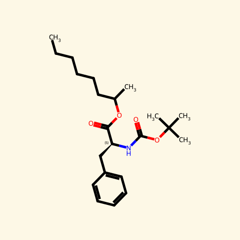 CCCCCCC(C)OC(=O)[C@H](Cc1ccccc1)NC(=O)OC(C)(C)C